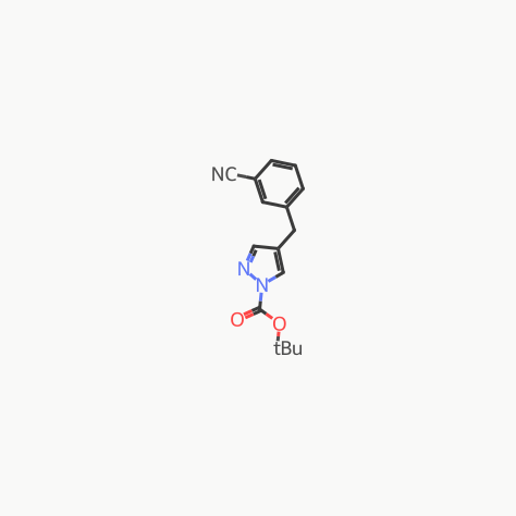 CC(C)(C)OC(=O)n1cc(Cc2cccc(C#N)c2)cn1